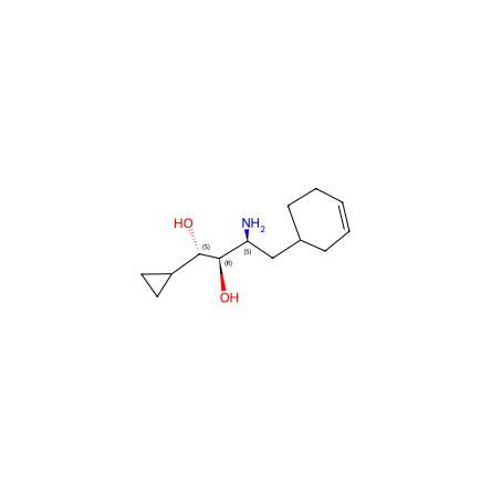 N[C@@H](CC1CC=CCC1)[C@@H](O)[C@@H](O)C1CC1